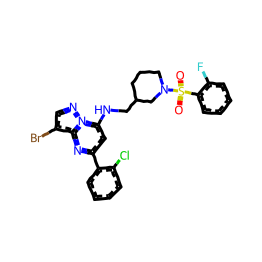 O=S(=O)(c1ccccc1F)N1CCCC(CNc2cc(-c3ccccc3Cl)nc3c(Br)cnn23)C1